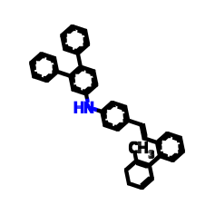 CC1=C(c2ccccc2/C=C/c2ccc(Nc3ccc(-c4ccccc4)c(-c4ccccc4)c3)cc2)C=CCC1